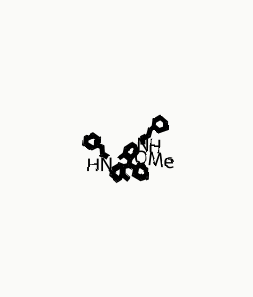 COc1ccccc1C(c1cc(NCCCc2ccccc2)ccc1C)c1cc(NCCCc2ccccc2)ccc1C